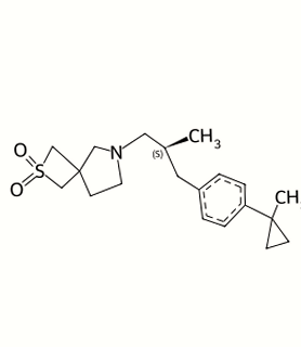 C[C@@H](Cc1ccc(C2(C)CC2)cc1)CN1CCC2(C1)CS(=O)(=O)C2